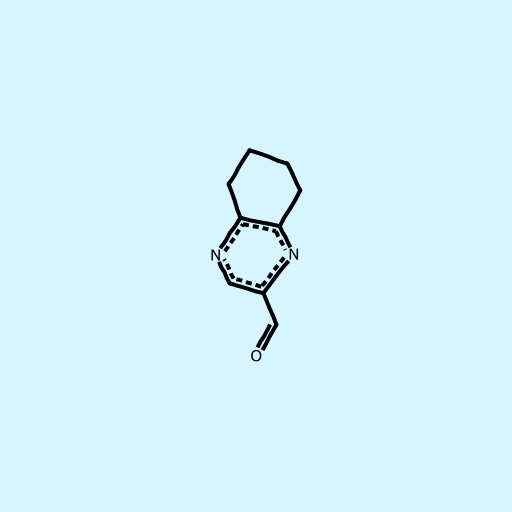 O=Cc1cnc2c(n1)CCCC2